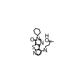 C[C@H](O)CCN(C)c1ccnc2sc3c(=O)n(C4CCCCC4)cnc3c12